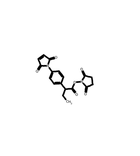 CCC(C(=O)ON1C(=O)CCC1=O)c1ccc(N2C(=O)C=CC2=O)cc1